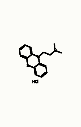 CN(C)CCN1c2ccccc2Sc2ccccc21.Cl